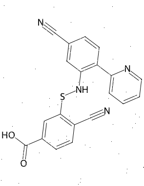 N#Cc1ccc(-c2ccccn2)c(NSc2cc(C(=O)O)ccc2C#N)c1